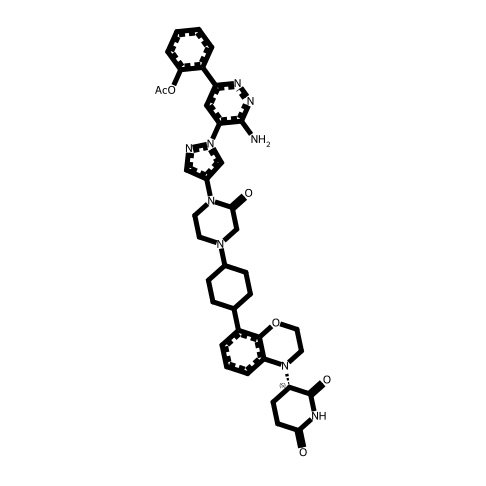 CC(=O)Oc1ccccc1-c1cc(-n2cc(N3CCN(C4CCC(c5cccc6c5OCCN6[C@H]5CCC(=O)NC5=O)CC4)CC3=O)cn2)c(N)nn1